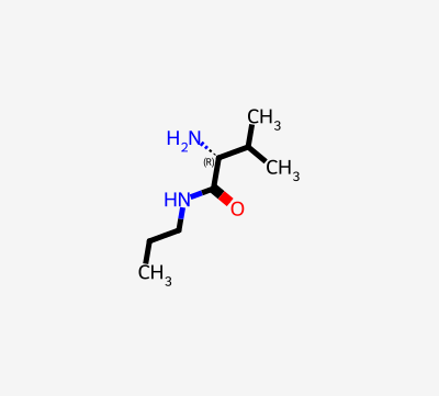 CCCNC(=O)[C@H](N)C(C)C